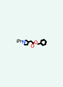 CC(C)N1CCC(CC(=O)OCc2ccccc2)C1